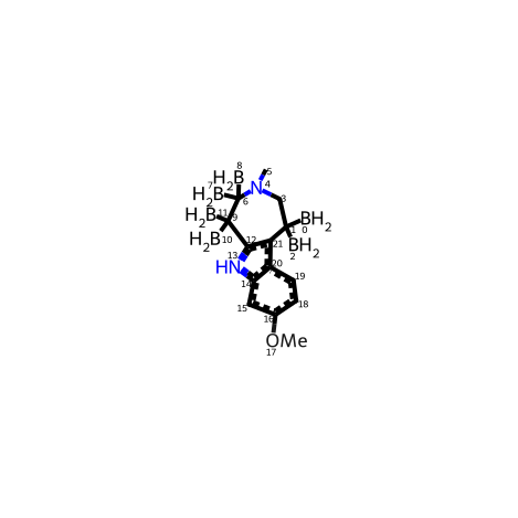 BC1(B)CN(C)C(B)(B)C(B)(B)c2[nH]c3cc(OC)ccc3c21